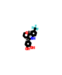 Oc1ccc([C@@H]2Nc3ccc(C(F)(F)F)cc3[C@H]3OCCC[C@H]32)cc1O